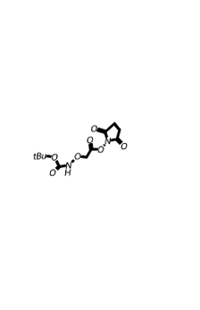 CC(C)(C)OC(=O)NOCC(=O)ON1C(=O)CCC1=O